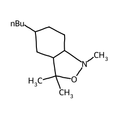 CCCCC1CCC2C(C1)C(C)(C)ON2C